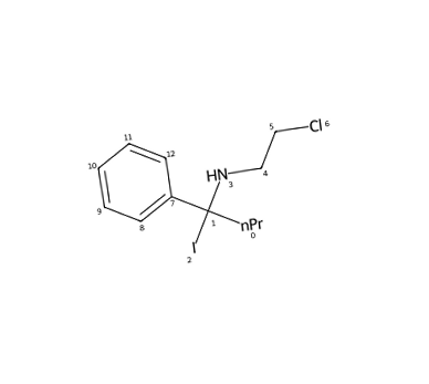 CCCC(I)(NCCCl)c1ccccc1